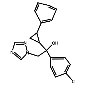 OC(Cn1cncn1)(c1ccc(Cl)cc1)C1CC1c1ccccc1